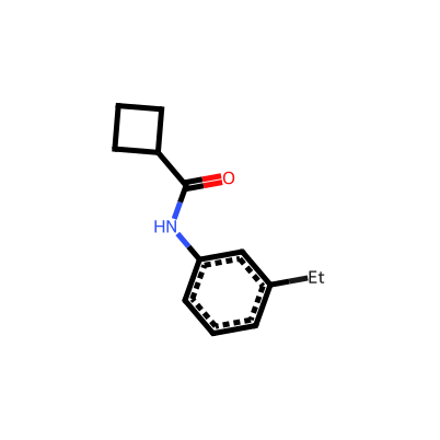 CCc1cccc(NC(=O)C2CCC2)c1